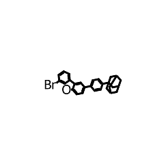 Brc1cccc2c1oc1ccc(-c3ccc(C45CC6CC(CC(C6)C4)C5)cc3)cc12